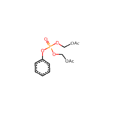 CC(=O)OCOP(=O)(OCOC(C)=O)Oc1ccccc1